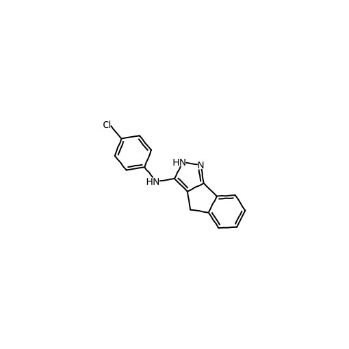 Clc1ccc(Nc2[nH]nc3c2Cc2ccccc2-3)cc1